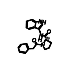 O=C(Nc1c[nH]c2ccccc12)[C@@H]1CCCN1C(=O)Cc1ccccc1